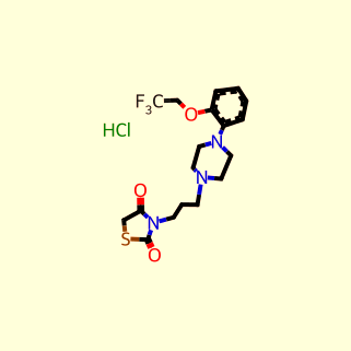 Cl.O=C1CSC(=O)N1CCCN1CCN(c2ccccc2OCC(F)(F)F)CC1